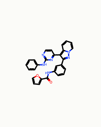 O=C(Nc1cccc(-c2nn3ccccc3c2-c2ccnc(Nc3ccccc3)n2)c1)c1ccco1